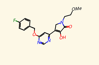 COCCN1CC(c2cc(OCc3ccc(F)cc3)ncn2)=C(O)C1=O